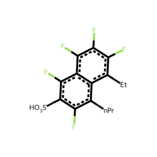 CCCc1c(F)c(S(=O)(=O)O)c(F)c2c(F)c(F)c(F)c(CC)c12